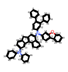 c1ccc(-c2ccc(N(c3ccc4c(c3)oc3ccccc34)c3cc4c(c5ccccc35)-c3cc(N(c5ccccc5)c5ccccc5)ccc3C4)cc2-c2ccccc2)cc1